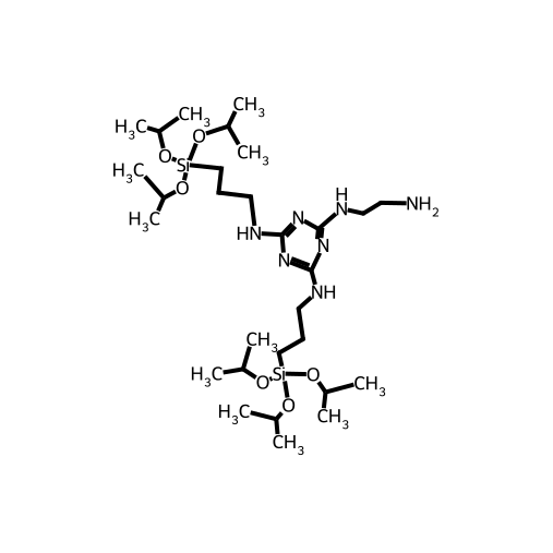 CC(C)O[Si](CCCNc1nc(NCCN)nc(NCCC[Si](OC(C)C)(OC(C)C)OC(C)C)n1)(OC(C)C)OC(C)C